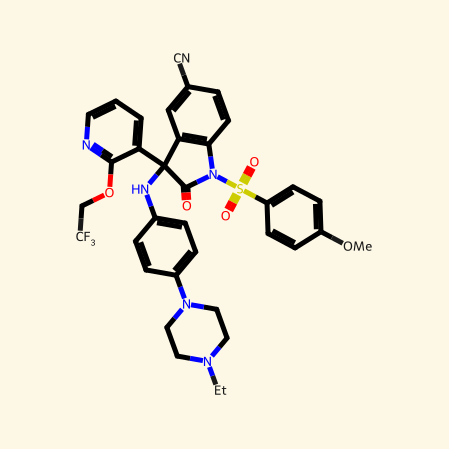 CCN1CCN(c2ccc(NC3(c4cccnc4OCC(F)(F)F)C(=O)N(S(=O)(=O)c4ccc(OC)cc4)c4ccc(C#N)cc43)cc2)CC1